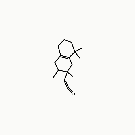 CC1CC2=C(CC1(C)C=C=O)C(C)(C)CCC2